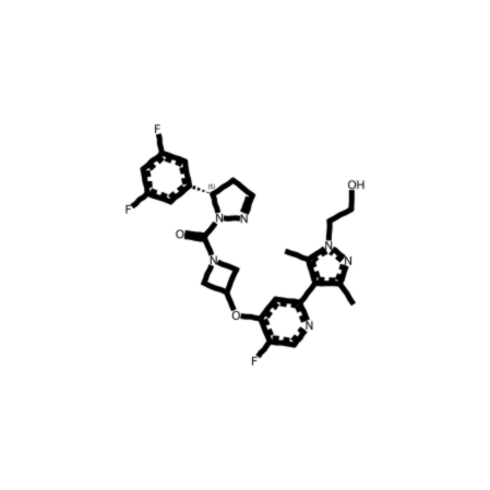 Cc1nn(CCO)c(C)c1-c1cc(OC2CN(C(=O)N3N=CC[C@H]3c3cc(F)cc(F)c3)C2)c(F)cn1